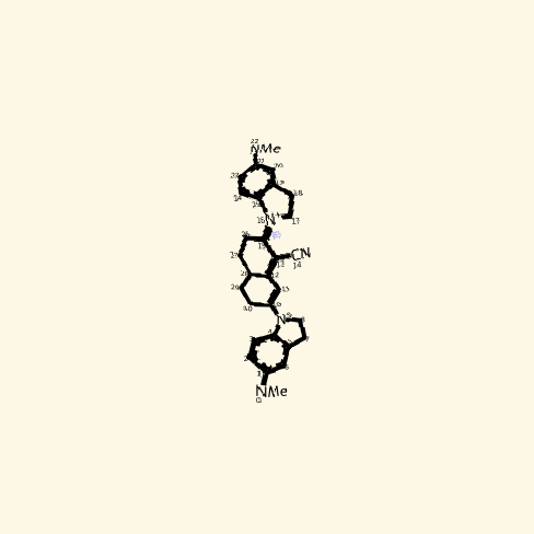 CNc1ccc2c(c1)CCN2C1=CC2=C(C#N)/C(=[N+]3\CCc4cc(NC)ccc43)CCC2CC1